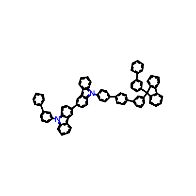 c1ccc(-c2cccc(-n3c4ccccc4c4cc(-c5ccc6c(c5)c5ccccc5n6-c5ccc(-c6ccc(-c7cccc(C8(c9cccc(-c%10ccccc%10)c9)c9ccccc9-c9ccccc98)c7)cc6)cc5)ccc43)c2)cc1